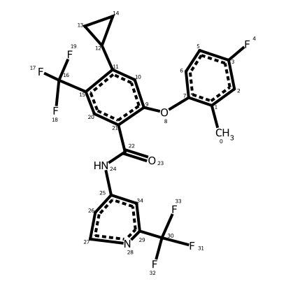 Cc1cc(F)ccc1Oc1cc(C2CC2)c(C(F)(F)F)cc1C(=O)Nc1ccnc(C(F)(F)F)c1